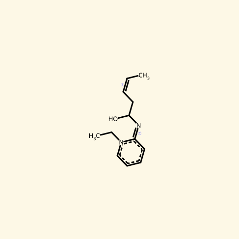 C/C=C\CC(O)/N=c1/ccccn1CC